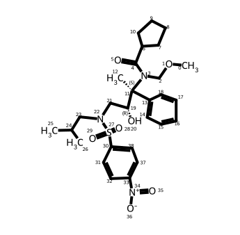 COCN(C(=O)C1CCCC1)[C@@](C)(c1ccccc1)[C@H](O)CN(CC(C)C)S(=O)(=O)c1ccc([N+](=O)[O-])cc1